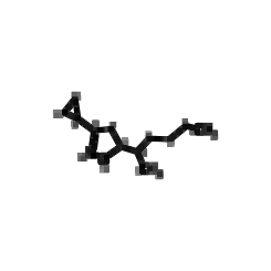 CCCCC(C)C1CC(C2CC2)=NO1